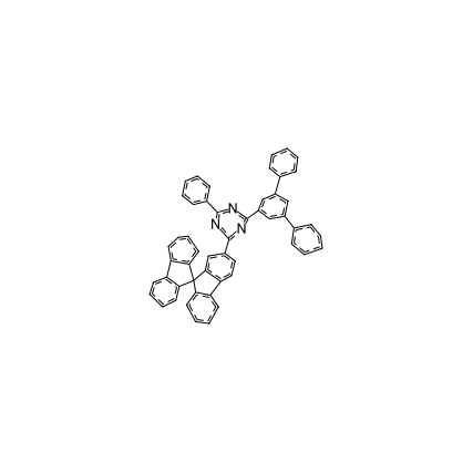 c1ccc(-c2cc(-c3ccccc3)cc(-c3nc(-c4ccccc4)nc(-c4ccc5c(c4)C4(c6ccccc6-c6ccccc64)c4ccccc4-5)n3)c2)cc1